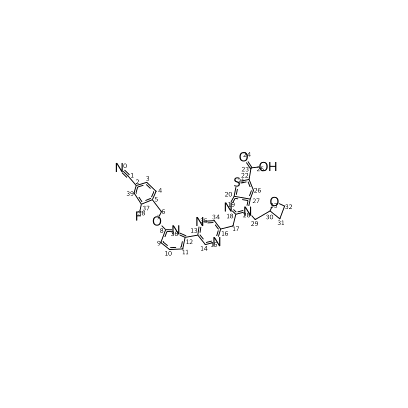 N#Cc1ccc(COc2cccc(-c3cnc(Cc4nc5sc(C(=O)O)cc5n4CC4CCO4)cn3)n2)c(F)c1